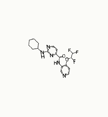 O=C(Nc1cnccc1OC(F)C(F)F)c1ccnc(NC2CCCCC2)n1